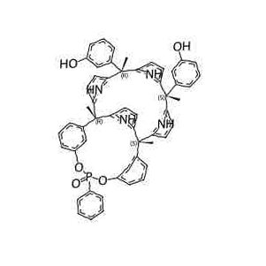 C[C@]1(c2cccc(O)c2)c2ccc([nH]2)[C@@](C)(c2cccc(O)c2)c2ccc([nH]2)[C@@]2(C)c3cccc(c3)OP(=O)(c3ccccc3)Oc3cccc(c3)[C@@](C)(c3ccc1[nH]3)c1ccc2[nH]1